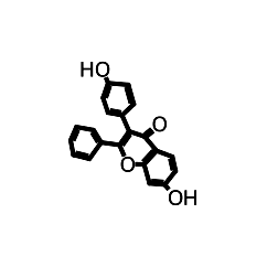 O=c1c(-c2ccc(O)cc2)c(-c2ccccc2)oc2cc(O)ccc12